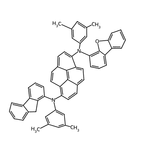 Cc1cc(C)cc(N(c2cccc3c2Cc2ccccc2-3)c2ccc3ccc4c(N(c5cc(C)cc(C)c5)c5cccc6c5oc5ccccc56)ccc5ccc2c3c54)c1